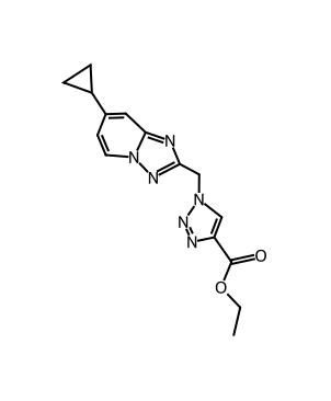 CCOC(=O)c1cn(Cc2nc3cc(C4CC4)ccn3n2)nn1